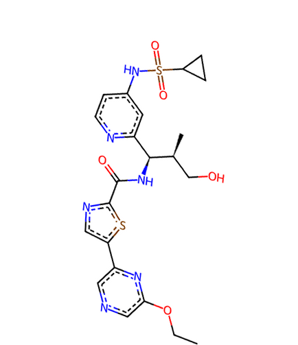 CCOc1cncc(-c2cnc(C(=O)N[C@@H](c3cc(NS(=O)(=O)C4CC4)ccn3)[C@@H](C)CO)s2)n1